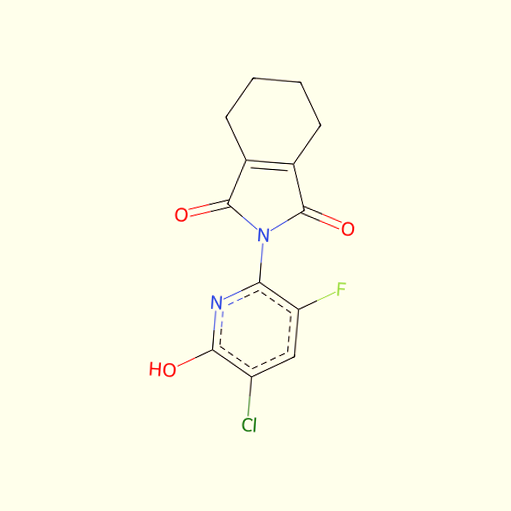 O=C1C2=C(CCCC2)C(=O)N1c1nc(O)c(Cl)cc1F